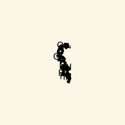 C#CCn1cc(-c2cnc3c(Cc4ccc(C(=O)N5CCN(C(=O)[C@@H]6CC[C@@H](C)C6)CC5)c(C)c4)nccn23)c(C(F)(F)F)n1